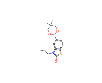 CCCn1c(=O)sc2ccc(B3OCC(C)(C)CO3)cc21